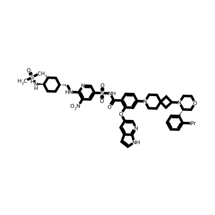 CC(C)c1ccccc1[C@H]1COCCN1C1CC2(CCN(c3ccc(C(=O)NS(=O)(=O)c4cnc(NC[C@H]5CC[C@H](N[SH](C)(C)=O)CC5)c([N+](=O)[O-])c4)c(Oc4cnc5[nH]ccc5c4)c3)CC2)C1